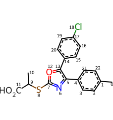 Cc1ccc(-c2nc(SC(C)C(=O)O)oc2-c2ccc(Cl)cc2)cc1